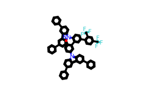 N#Cc1ccc(-n2c3ccc(-c4ccccc4)cc3c3cc(-c4ccccc4)ccc32)cc1-c1cc(-c2ccc(C(F)(F)F)cc2C(F)(F)F)ccc1-n1c2ccc(-c3ccccc3)cc2c2cc(-c3ccccc3)ccc21